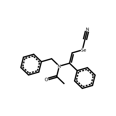 CC(=O)N(Cc1ccccc1)C(=C[Se]C#N)c1ccccc1